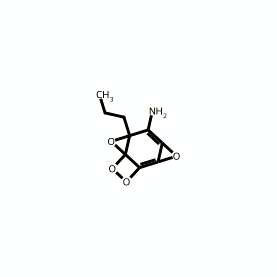 CCCC12OC13OOC3=C1OC1=C2N